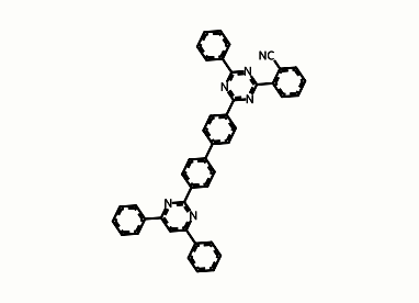 N#Cc1ccccc1-c1nc(-c2ccccc2)nc(-c2ccc(-c3ccc(-c4nc(-c5ccccc5)cc(-c5ccccc5)n4)cc3)cc2)n1